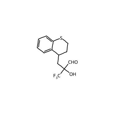 O=CC(O)(CC1CCSc2ccccc21)C(F)(F)F